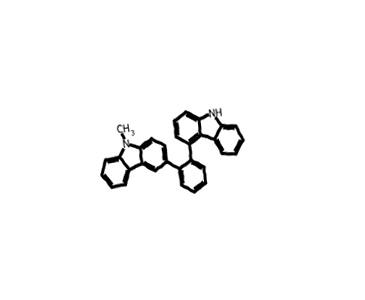 Cn1c2ccccc2c2cc(-c3ccccc3-c3cccc4[nH]c5ccccc5c34)ccc21